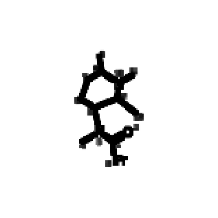 CC(C)C(=O)N(C)C1CCC(C)N(C)C1C